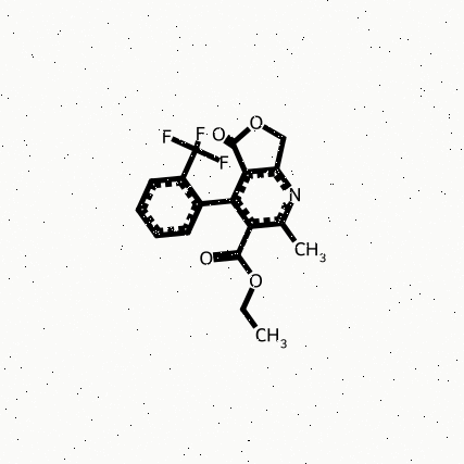 CCOC(=O)c1c(C)nc2c(c1-c1ccccc1C(F)(F)F)C(=O)OC2